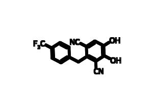 N#Cc1cc(O)c(O)c(C#N)c1Cc1ccc(C(F)(F)F)cc1